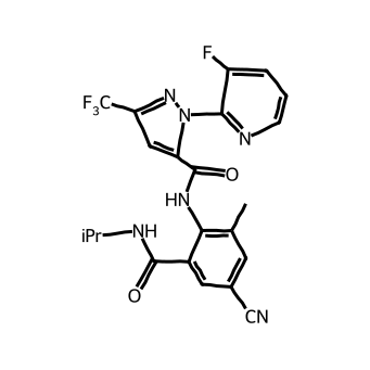 Cc1cc(C#N)cc(C(=O)NC(C)C)c1NC(=O)c1cc(C(F)(F)F)nn1-c1ncccc1F